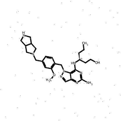 CCC[C@@H](CCO)Nc1nc(N)nc2cnn(Cc3ccc(CN4CC5CNCC5C4)cc3OC)c12